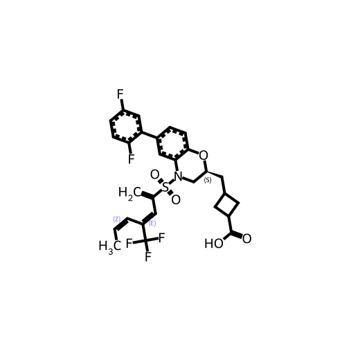 C=C(/C=C(\C=C/C)C(F)(F)F)S(=O)(=O)N1C[C@H](CC2CC(C(=O)O)C2)Oc2ccc(-c3cc(F)ccc3F)cc21